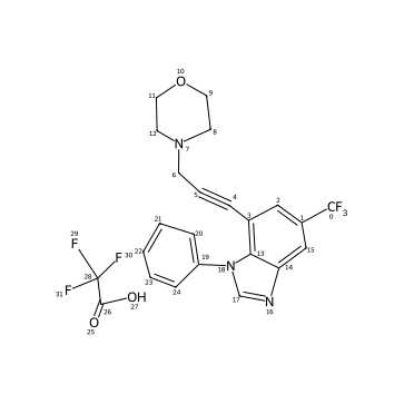 FC(F)(F)c1cc(C#CCN2CCOCC2)c2c(c1)ncn2-c1ccccc1.O=C(O)C(F)(F)F